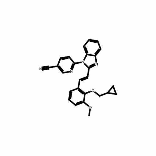 COc1cccc(C=Cc2nc3ccccc3n2-c2ccc(C#N)cn2)c1OCC1CC1